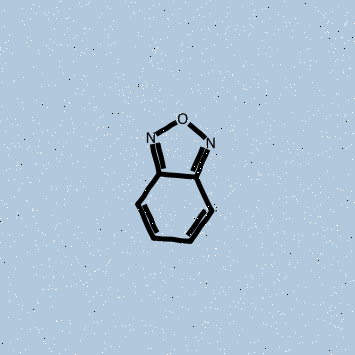 [c]1cccc2nonc12